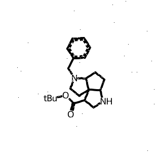 CC(C)(C)OC(=O)C1CNC2CCC3N(Cc4ccccc4)CCC213